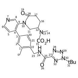 Cc1cc(-c2ccncc2N2CC(N(C)C(=O)O)CCC2=O)ccc1CNC(=O)c1nnn(C(C)(C)C)n1